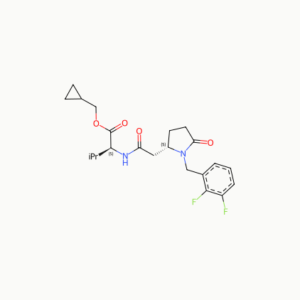 CC(C)[C@H](NC(=O)C[C@@H]1CCC(=O)N1Cc1cccc(F)c1F)C(=O)OCC1CC1